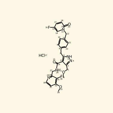 COCc1n[nH]c(Cc2ccc(Cn3cc(F)ccc3=O)cc2)c1C(=O)NCc1nccc(OC)c1F.Cl